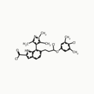 Cc1cc(OC(Cl)CCc2ccc3cc(C(=O)Cl)[nH]c3c2-c2c(C)nn(C)c2C)cc(C)c1Cl